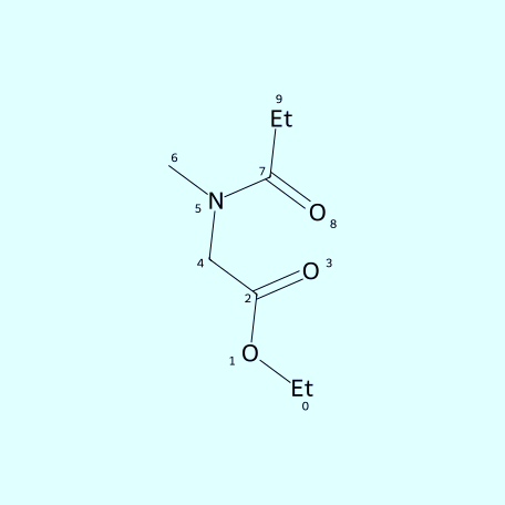 CCOC(=O)CN(C)C(=O)CC